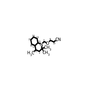 CC1CC(C)(C)N(COCCC#N)C2CCCCC12